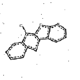 Clc1c2ccccc2cc2c1oc1ncccc12